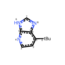 CC(C)(C)c1ccnc2[nH]cnc12